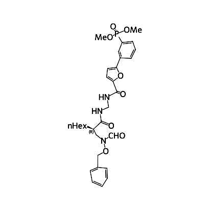 CCCCCC[C@H](CN(C=O)OCc1ccccc1)C(=O)NCNC(=O)c1ccc(-c2cccc(P(=O)(OC)OC)c2)o1